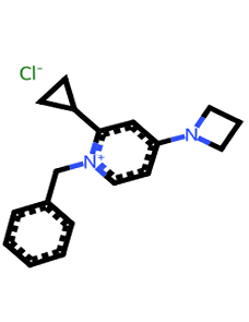 [Cl-].c1ccc(C[n+]2ccc(N3CCC3)cc2C2CC2)cc1